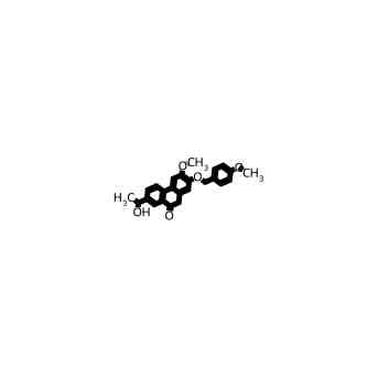 COc1ccc(COc2cc3c(cc2OC)-c2ccc(C(C)O)cc2C(=O)C3)cc1